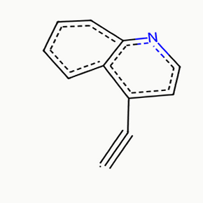 [C]#Cc1ccnc2ccccc12